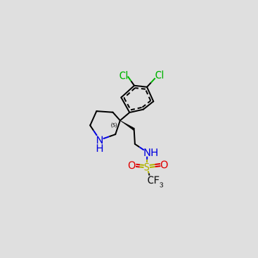 O=S(=O)(NCC[C@]1(c2ccc(Cl)c(Cl)c2)CCCNC1)C(F)(F)F